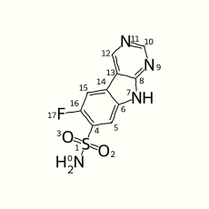 NS(=O)(=O)c1cc2[nH]c3ncncc3c2cc1F